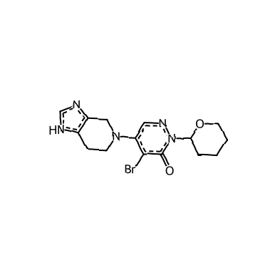 O=c1c(Br)c(N2CCc3[nH]cnc3C2)cnn1C1CCCCO1